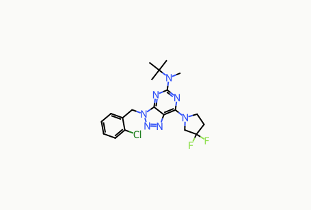 CN(c1nc(N2CCC(F)(F)C2)c2nnn(Cc3ccccc3Cl)c2n1)C(C)(C)C